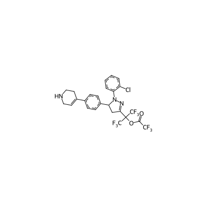 O=C(OC(C1=NN(c2ccccc2Cl)C(c2ccc(C3=CCNCC3)cc2)C1)(C(F)(F)F)C(F)(F)F)C(F)(F)F